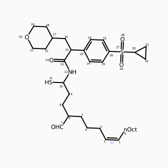 CCCCCCCC/C=C\CCCC(C=O)CCC(S)NC(=O)C(CC1CCOCC1)c1ccc(S(=O)(=O)C2CC2)cc1